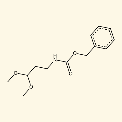 COC(CCNC(=O)OCc1ccccc1)OC